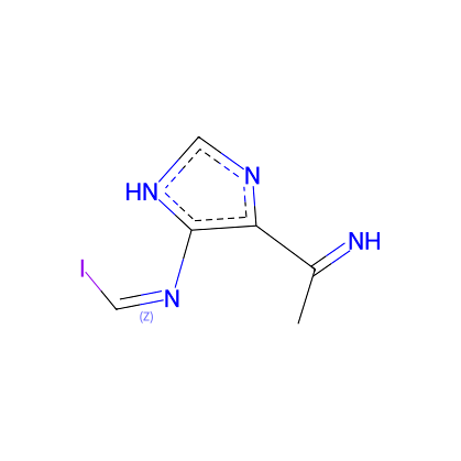 CC(=N)c1nc[nH]c1/N=C\I